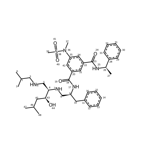 CC(C)CNC[C@@H](NC[C@H](Cc1ccccc1)NC(=O)c1cc(C(=O)N[C@H](C)c2ccccc2)cc(N(C)S(C)(=O)=O)c1)[C@@H](O)CC(C)C